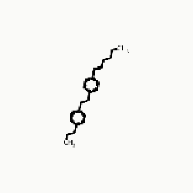 CCCCC=Cc1ccc(CCc2ccc(CCC)cc2)cc1